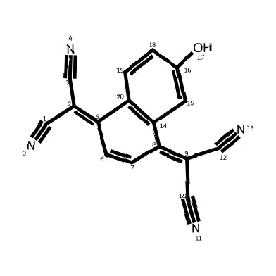 N#CC(C#N)=c1ccc(=C(C#N)C#N)c2cc(O)ccc12